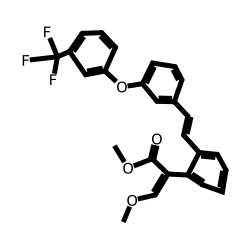 COC=C(C(=O)OC)c1ccccc1C=Cc1cccc(Oc2cccc(C(F)(F)F)c2)c1